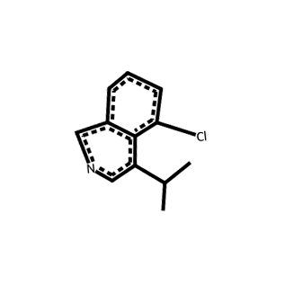 CC(C)c1cncc2cccc(Cl)c12